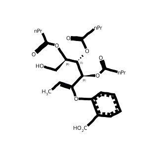 C/C=C(\Oc1ccccc1C(=O)O)[C@H](OC(=O)CCC)[C@@H](OC(=O)CCC)[C@@H](CO)OC(=O)CCC